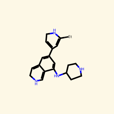 CCC1=CC(c2cc(NC3CCNCC3)c3c(c2)=CCNC=3)=CCN1